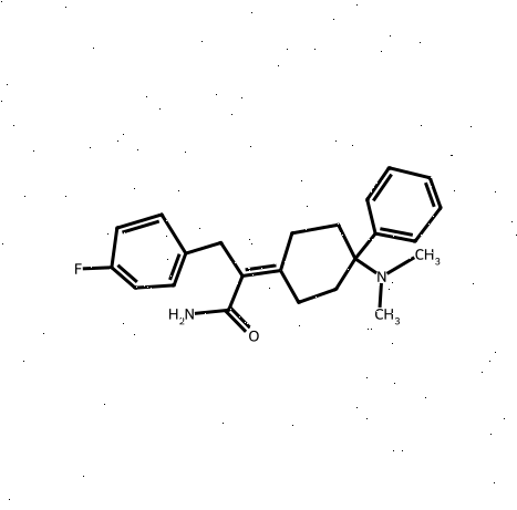 CN(C)C1(c2ccccc2)CCC(=C(Cc2ccc(F)cc2)C(N)=O)CC1